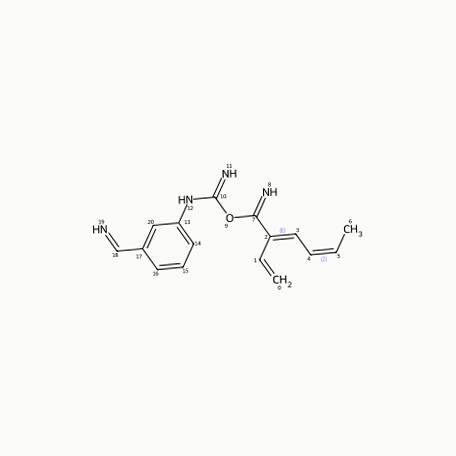 C=C/C(=C\C=C/C)C(=N)OC(=N)Nc1cccc(C=N)c1